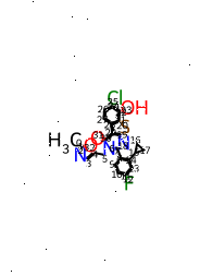 Cc1ncc(Cn2c(-c3ccc(F)cc3C3CC3)nc3sc4c(O)c(Cl)ccc4c3c2=O)o1